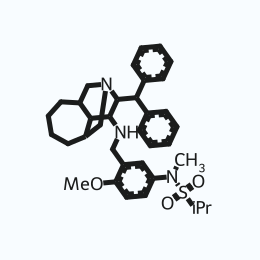 COc1ccc(N(C)S(=O)(=O)C(C)C)cc1CNC1C2C3CCCCC2CN(C3)C1C(c1ccccc1)c1ccccc1